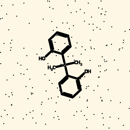 CS(C)(c1ccccc1O)c1ccccc1O